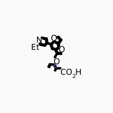 C=C/C(OCc1coc2c1cc(-c1ccnc(CC)c1)c1occc12)=C(\C)CC(=O)O